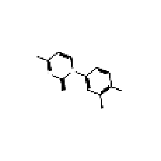 Cc1cc(-n2ccc(N)nc2=O)ccc1C=O